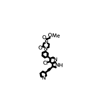 COCC(=O)N1CCN(c2cccc(-c3cnc4[nH]cc(C#Cc5cccnc5)c4c3Cl)c2)C(=O)C1